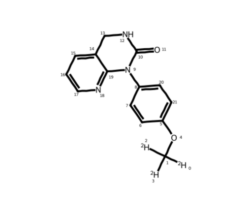 [2H]C([2H])([2H])Oc1ccc(N2C(=O)NCc3cccnc32)cc1